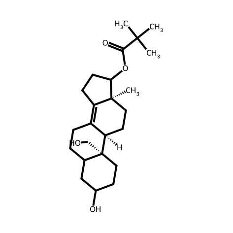 CC(C)(C)C(=O)OC1CCC2=C3CCC4CC(O)CC[C@]4(CO)[C@@H]3CC[C@@]21C